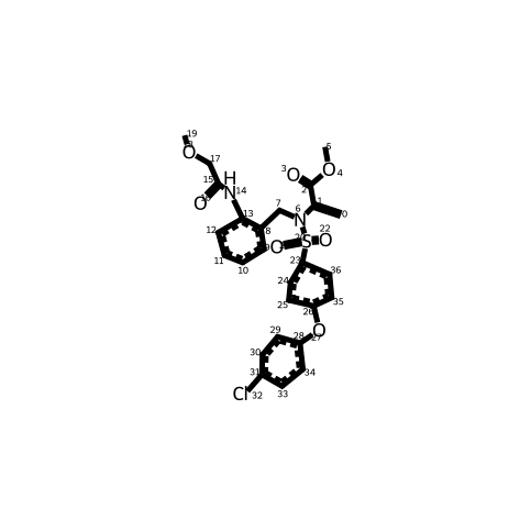 C=C(C(=O)OC)N(Cc1ccccc1NC(=O)COC)S(=O)(=O)c1ccc(Oc2ccc(Cl)cc2)cc1